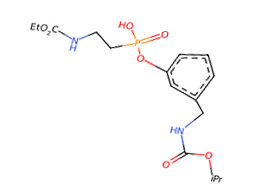 CCOC(=O)NCCP(=O)(O)Oc1cccc(CNC(=O)OC(C)C)c1